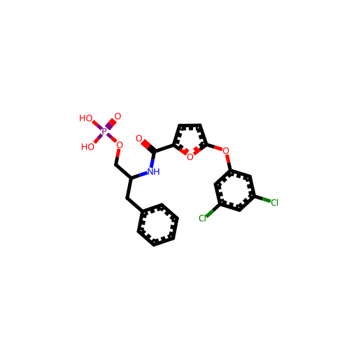 O=C(NC(COP(=O)(O)O)Cc1ccccc1)c1ccc(Oc2cc(Cl)cc(Cl)c2)o1